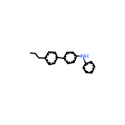 CCCc1ccc(-c2ccc(Nc3ccccc3)cc2)cc1